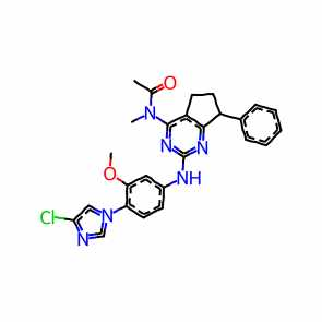 COc1cc(Nc2nc3c(c(N(C)C(C)=O)n2)CCC3c2ccccc2)ccc1-n1cnc(Cl)c1